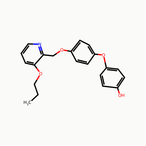 CCCOc1cccnc1COc1ccc(Oc2ccc(O)cc2)cc1